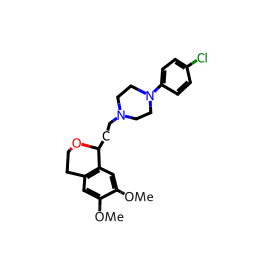 COc1cc2c(cc1OC)C(CCN1CCN(c3ccc(Cl)cc3)CC1)OCC2